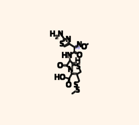 CO/N=C(\C(=O)NC1C(=O)N2C(C(=O)O)=C(CSSC)CS[C@H]12)c1csc(N)n1